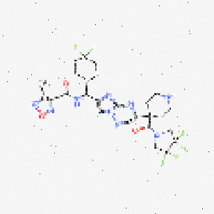 Cc1nonc1C(=O)N[C@H](c1cn2ncc(C3(C(=O)N4CC(F)(F)C(F)(F)C4)CCNCC3)nc2n1)C1CCC(F)(F)CC1